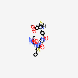 CCOc1cc2c(cc1OC)C(c1ccc(C(=O)N3CCC(n4c(=O)c5sc(-c6ccccc6)cc5n(Cc5nnc(CC)o5)c4=O)CC3)cc1)=N[C@@H]1CCSC[C@H]21